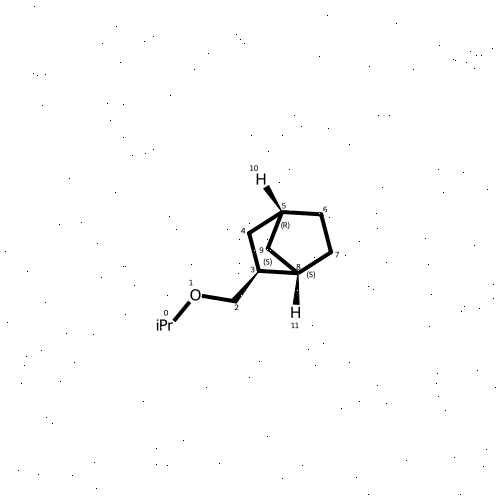 CC(C)OC[C@H]1C[C@@H]2CC[C@H]1C2